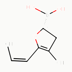 C/C=C\C1=C(C)C[C@@H](B(O)O)O1